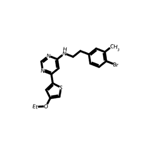 CCOc1csc(-c2cc(NCCc3ccc(Br)c(C)c3)ncn2)c1